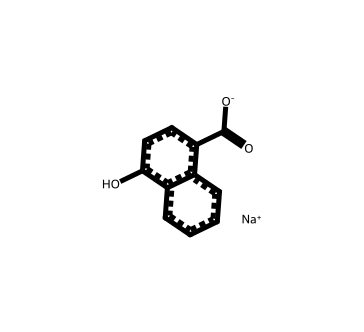 O=C([O-])c1ccc(O)c2ccccc12.[Na+]